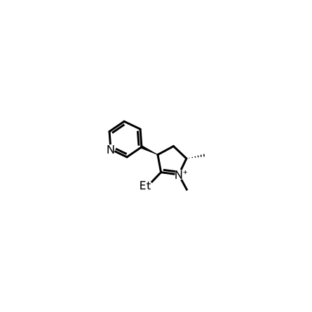 CCC1=[N+](C)[C@@H](C)C[C@@H]1c1cccnc1